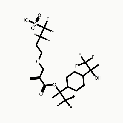 C=C(COCCC(F)(F)C(F)(F)S(=O)(=O)O)C(=O)OC(C)(C1CCC(C(C)(O)C(F)(F)F)CC1)C(F)(F)F